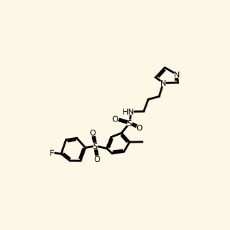 Cc1ccc(S(=O)(=O)c2ccc(F)cc2)cc1S(=O)(=O)NCCCn1ccnc1